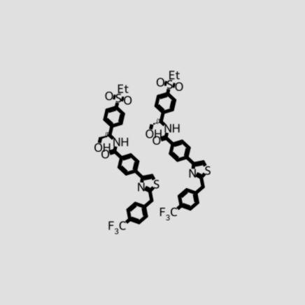 CCS(=O)(=O)c1ccc([C@@H](CO)NC(=O)c2ccc(-c3csc(Cc4ccc(C(F)(F)F)cc4)n3)cc2)cc1.CCS(=O)(=O)c1ccc([C@H](CO)NC(=O)c2ccc(-c3csc(Cc4ccc(C(F)(F)F)cc4)n3)cc2)cc1